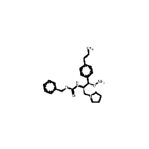 CCCc1ccc([C@@H](ON)[C@@H](CN2CCCC2)NC(=O)OCc2ccccc2)cc1